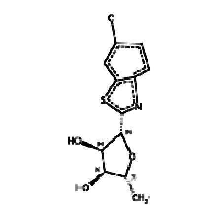 [CH2][C@H]1O[C@@H](c2nc3ccc(Cl)cc3s2)[C@H](O)[C@@H]1O